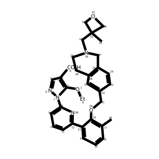 CCOc1c(C(=O)O)cnn1-c1cccc(-c2cccc(C)c2OCc2ccc3c(c2)CCN(CC2(C)COC2)C3)n1